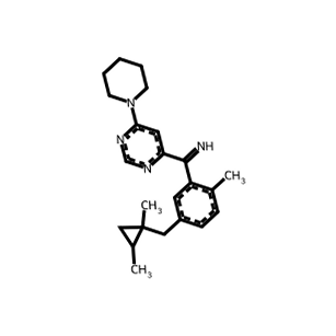 Cc1ccc(CC2(C)CC2C)cc1C(=N)c1cc(N2CCCCC2)ncn1